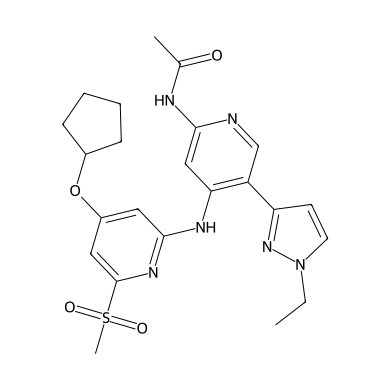 CCn1ccc(-c2cnc(NC(C)=O)cc2Nc2cc(OC3CCCC3)cc(S(C)(=O)=O)n2)n1